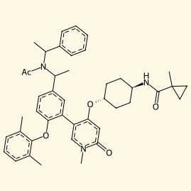 CC(=O)N(C(C)c1ccccc1)C(C)c1ccc(Oc2c(C)cccc2C)c(-c2cn(C)c(=O)cc2O[C@H]2CC[C@H](NC(=O)C3(C)CC3)CC2)c1